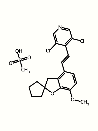 COc1ccc(C=Cc2c(Cl)cncc2Cl)c2c1OC1(CCCC1)C2.CS(=O)(=O)O